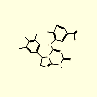 Cc1ccc(C(N)=O)cc1NC1=NC(=O)N(C)C2=NCC(c3cc(F)c(F)c(F)c3)N12